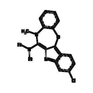 CCN(CC)C1=C2N=c3cc(Cl)ccc3=C2Oc2ccccc2N1C